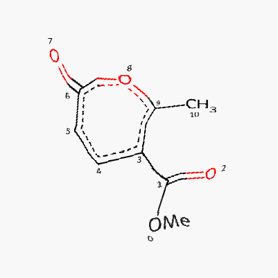 COC(=O)c1ccc(=O)oc1C